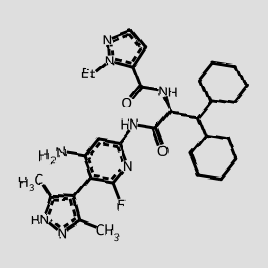 CCn1nccc1C(=O)N[C@H](C(=O)Nc1cc(N)c(-c2c(C)n[nH]c2C)c(F)n1)C(C1CCCCC1)C1CCCCC1